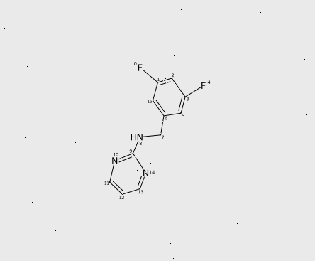 Fc1cc(F)cc(CNc2ncccn2)c1